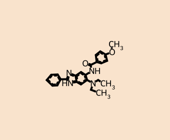 CCN(CC)c1cc2[nH]c(-c3ccccc3)nc2cc1NC(=O)c1ccc(OC)cc1